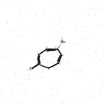 CC[C@@H](C)C1=CC=C(F)CC=C1